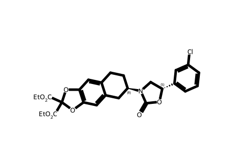 CCOC(=O)C1(C(=O)OCC)Oc2cc3c(cc2O1)C[C@H](N1C[C@H](c2cccc(Cl)c2)OC1=O)CC3